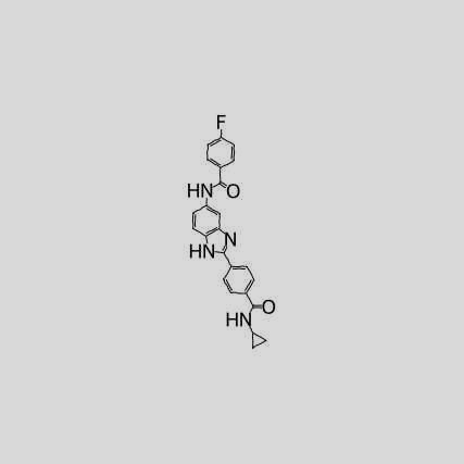 O=C(Nc1ccc2[nH]c(-c3ccc(C(=O)NC4CC4)cc3)nc2c1)c1ccc(F)cc1